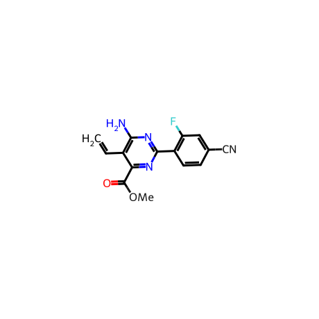 C=Cc1c(N)nc(-c2ccc(C#N)cc2F)nc1C(=O)OC